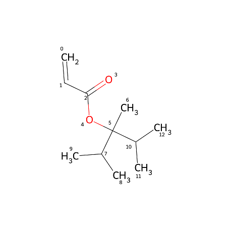 C=CC(=O)OC(C)(C(C)C)C(C)C